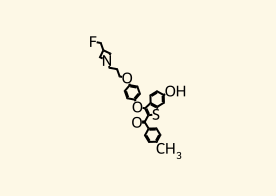 Cc1ccc(C(=O)c2sc3cc(O)ccc3c2Oc2ccc(OCCCN3CC(CF)C3)cc2)cc1